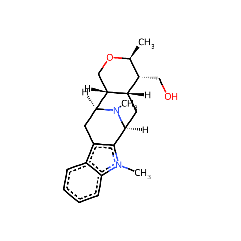 C[C@@H]1OC[C@@H]2[C@@H](C[C@H]3c4c(c5ccccc5n4C)C[C@@H]2N3C)[C@H]1CO